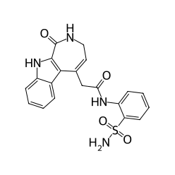 NS(=O)(=O)c1ccccc1NC(=O)CC1=CCNC(=O)c2[nH]c3ccccc3c21